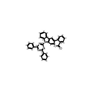 O=c1oc2cc3c(cc2c2ccccc12)c1ccccc1n3-c1nc(-c2ccccc2)nc(-c2ccccc2)n1